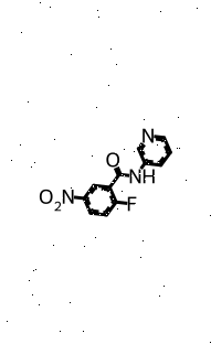 O=C(Nc1cccnc1)c1cc([N+](=O)[O-])ccc1F